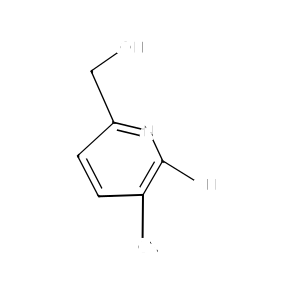 N#Cc1ccc(CO)nc1S